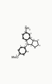 COc1ccc(N2c3ccc(N)cc3C3CCCC32)cc1